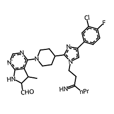 CCCC(=N)CCn1cc(-c2ccc(F)c(Cl)c2)nc1C1CCN(c2ncnc3c2C(C)C(C=O)N3)CC1